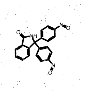 O=Nc1ccc(C2(c3ccc(N=O)cc3)NC(=O)c3ccccc32)cc1